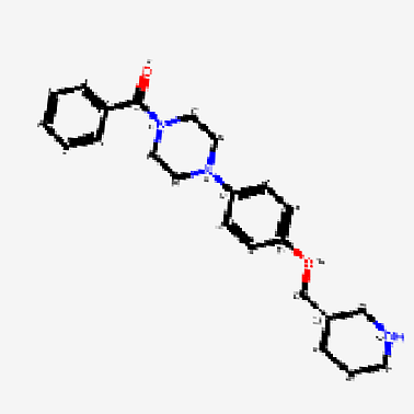 O=C(c1ccccc1)N1CCN(c2ccc(OC[C@@H]3CCCNC3)cc2)CC1